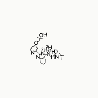 [2H]C([2H])([2H])N(CC(=O)NC(C)(C)C)c1nc(-c2cc(OCC(C)(C)O)ccn2)nc2c1CCC2